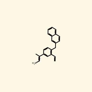 C=Cc1cc(/C(C)=C/N)ccc1Cc1ccc2ccccc2c1